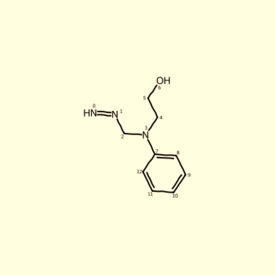 N=NCN(CCO)c1ccccc1